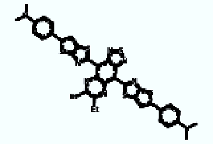 CCc1nc2c(-c3nc4sc(-c5ccc(N(C)C)cc5)cc4s3)c3nsnc3c(-c3nc4sc(-c5ccc(N(C)C)cc5)cc4s3)c2nc1CC